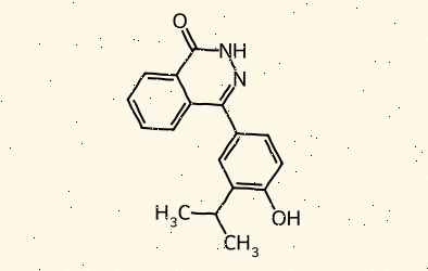 CC(C)c1cc(-c2n[nH]c(=O)c3ccccc23)ccc1O